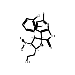 O=C1Nc2nc(Cl)ccc2[C@]12N[C@@H](CCO)[C@@H]([N+](=O)[O-])[C@@H]2c1cccc(Cl)c1F